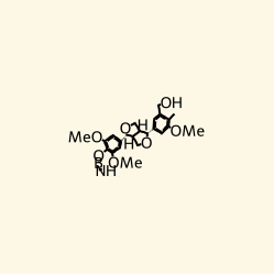 COc1cc([C@@H]2OC[C@@H]3[C@H]2CO[C@H]3c2cc(OC)c(OB=N)c(OC)c2)cc(CO)c1C